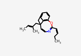 C/C=C(\C)CC12\C=C/N=C(/C=C\CC)Oc3ccc(cc31)C2